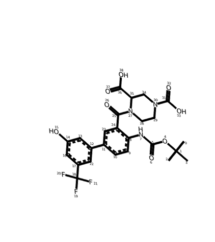 CC(C)(C)OC(=O)Nc1ccc(-c2cc(O)cc(C(F)(F)F)c2)cc1C(=O)N1CCN(C(=O)O)CC1C(=O)O